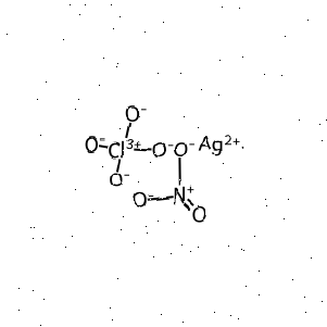 O=[N+]([O-])[O-].[Ag+2].[O-][Cl+3]([O-])([O-])[O-]